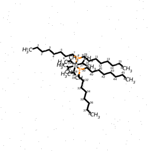 CCCCCCCC[P](CCCCCCCC)[Ti]([CH](C)C)([CH](C)C)([CH](C)C)([CH](C)C)[P](CCCCCCCC)CCCCCCCC